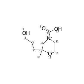 CC1(CCCO)CN(C(=O)O)CCO1